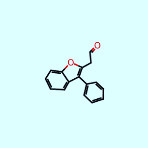 O=CCc1oc2ccccc2c1-c1ccccc1